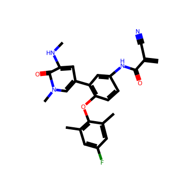 C=C(C#N)C(=O)Nc1ccc(Oc2c(C)cc(F)cc2C)c(-c2cc(NC)c(=O)n(C)c2)c1